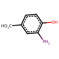 O=C(O)c1ccc(O)c(P)c1